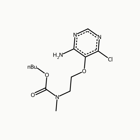 CCCCOC(=O)N(C)CCOc1c(N)ncnc1Cl